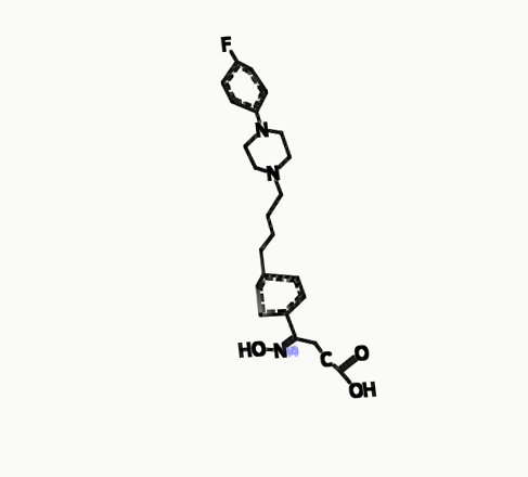 O=C(O)CC/C(=N/O)c1ccc(CCCCN2CCN(c3ccc(F)cc3)CC2)cc1